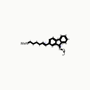 CNCCCC/C=C/c1ccc2c(c1)/C(=N/OI)c1ccccc1-2